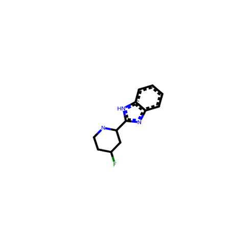 FC1CC[N]C(c2nc3ccccc3[nH]2)C1